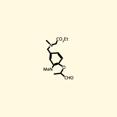 CCOC(=O)CN(C)Cc1ccc(OC(C)C=O)c(NC)c1